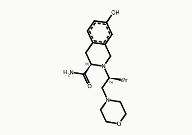 CC(C)[C@@H](CN1CCOCC1)N1Cc2cc(O)ccc2C[C@@H]1C(N)=O